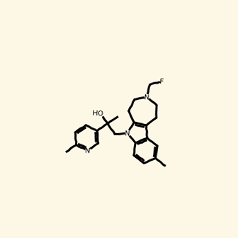 Cc1ccc2c(c1)c1c(n2CC(C)(O)c2ccc(C)nc2)CCN(CF)CC1